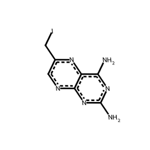 Nc1nc(N)c2nc(CI)cnc2n1